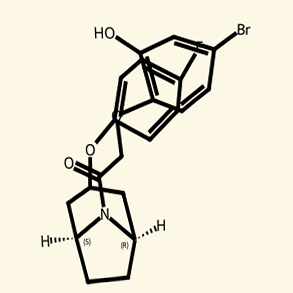 O=C(COc1ccc(Br)cc1O)N1[C@@H]2CC[C@H]1CC(Oc1ccc(F)cc1)C2